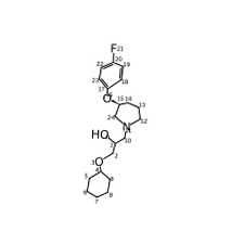 OC(COC1CCCCC1)CN1CCC[C@H](Oc2ccc(F)cc2)C1